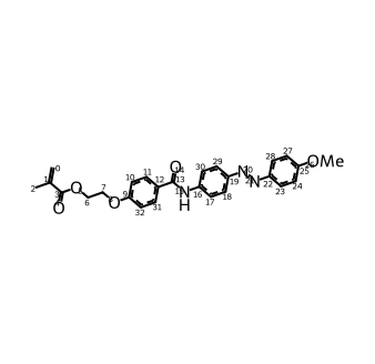 C=C(C)C(=O)OCCOc1ccc(C(=O)Nc2ccc(/N=N/c3ccc(OC)cc3)cc2)cc1